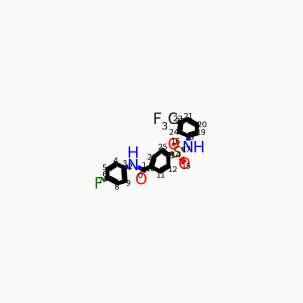 O=C(Nc1ccc(F)cc1)c1ccc(S(=O)(=O)Nc2cccc(C(F)(F)F)c2)cc1